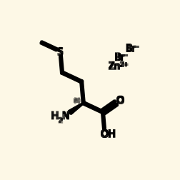 CSCC[C@H](N)C(=O)O.[Br-].[Br-].[Zn+2]